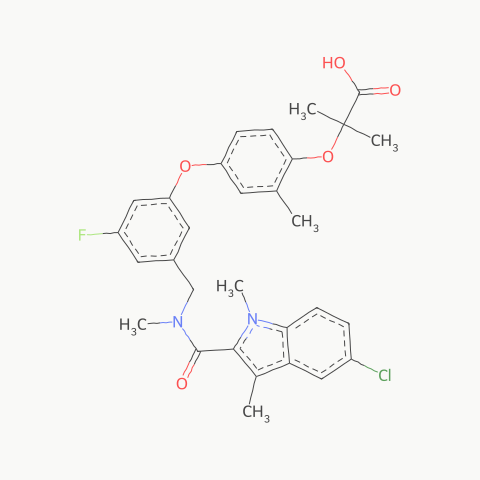 Cc1cc(Oc2cc(F)cc(CN(C)C(=O)c3c(C)c4cc(Cl)ccc4n3C)c2)ccc1OC(C)(C)C(=O)O